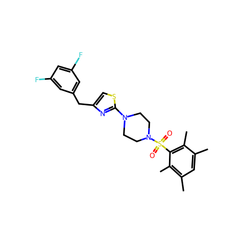 Cc1cc(C)c(C)c(S(=O)(=O)N2CCN(c3nc(Cc4cc(F)cc(F)c4)cs3)CC2)c1C